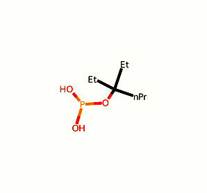 CCCC(CC)(CC)OP(O)O